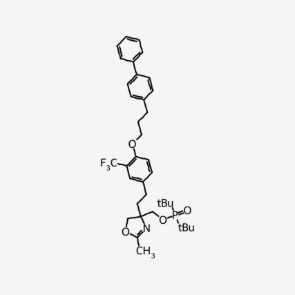 CC1=NC(CCc2ccc(OCCCc3ccc(-c4ccccc4)cc3)c(C(F)(F)F)c2)(COP(=O)(C(C)(C)C)C(C)(C)C)CO1